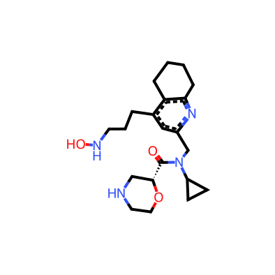 O=C([C@H]1CNCCO1)N(Cc1cc(CCCNO)c2c(n1)CCCC2)C1CC1